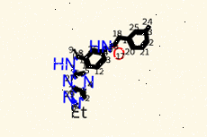 CCn1cc2ncc(N[C@@H](C)c3cccc(NC(=O)Cc4cccc(C)c4)c3)nc2n1